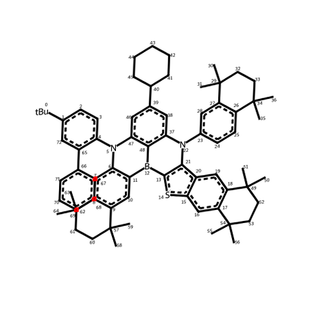 CC(C)(C)c1ccc(N2c3cc4c(cc3B3c5sc6cc7c(cc6c5N(c5ccc6c(c5)C(C)(C)CCC6(C)C)c5cc(C6CCCCC6)cc2c53)C(C)(C)CCC7(C)C)C(C)(C)CCC4(C)C)c(-c2ccccc2)c1